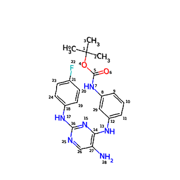 CC(C)(C)OC(=O)Nc1cccc(Nc2nc(Nc3ccc(F)cc3)ncc2N)c1